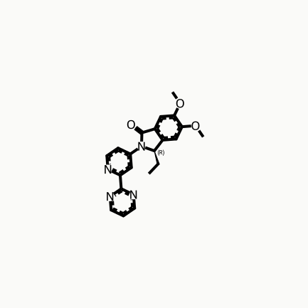 CC[C@@H]1c2cc(OC)c(OC)cc2C(=O)N1c1ccnc(-c2ncccn2)c1